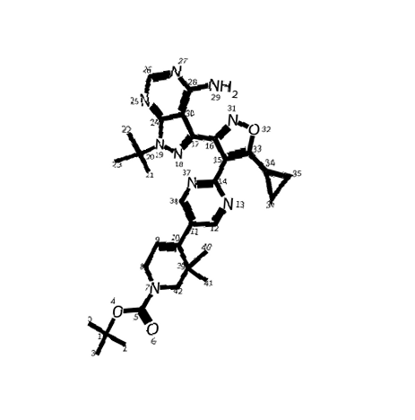 CC(C)(C)OC(=O)N1CC=C(c2cnc(-c3c(-c4nn(C(C)(C)C)c5ncnc(N)c45)noc3C3CC3)nc2)C(C)(C)C1